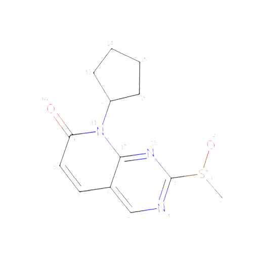 C[S+]([O-])c1ncc2ccc(=O)n(C3CCCC3)c2n1